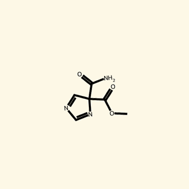 COC(=O)C1(C(N)=O)C=NC=N1